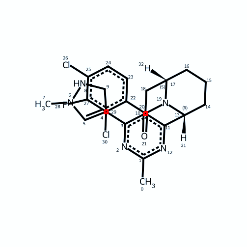 Cc1nc(C2=CN(C)NC2)c2c(n1)[C@H]1CCC[C@@H](C2)N1C(=O)c1ccc(Cl)c(F)c1Cl